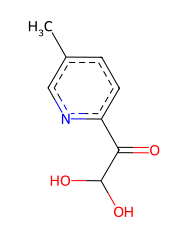 Cc1ccc(C(=O)C(O)O)nc1